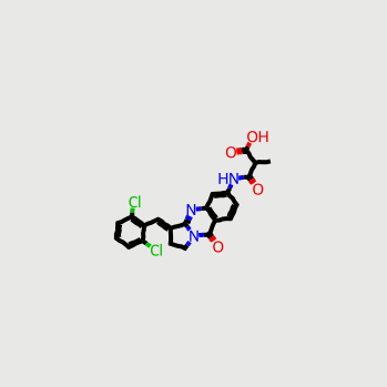 CC(C(=O)O)C(=O)Nc1ccc2c(=O)n3c(nc2c1)C(=Cc1c(Cl)cccc1Cl)CC3